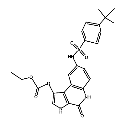 CCOC(=O)Oc1c[nH]c2c(=O)[nH]c3ccc(NS(=O)(=O)c4ccc(C(C)(C)C)cc4)cc3c12